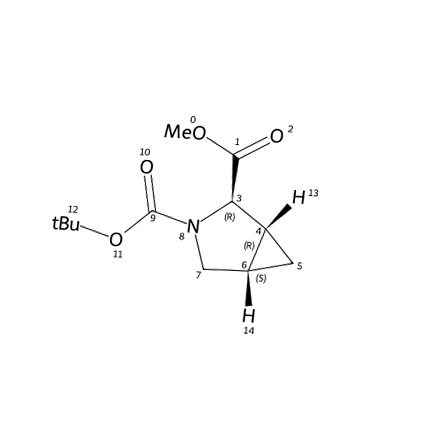 COC(=O)[C@H]1[C@@H]2C[C@@H]2CN1C(=O)OC(C)(C)C